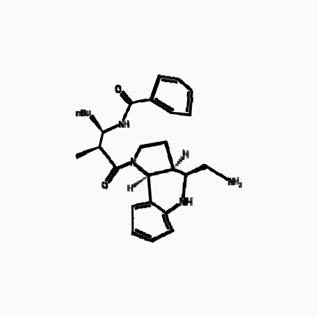 CCCC[C@@H](NC(=O)c1ccccc1)[C@H](C)C(=O)N1CC[C@@H]2[C@H]1c1ccccc1N[C@@H]2CN